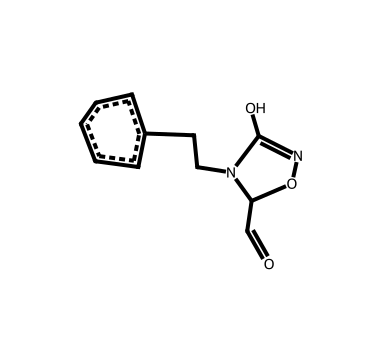 O=CC1ON=C(O)N1CCc1ccccc1